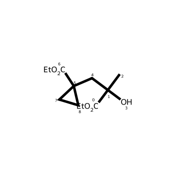 CCOC(=O)C(C)(O)CC1(C(=O)OCC)CC1